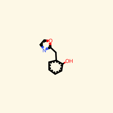 Oc1ccccc1Cc1ncco1